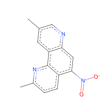 Cc1cnc2cc([N+](=O)[O-])c3ccc(C)nc3c2c1